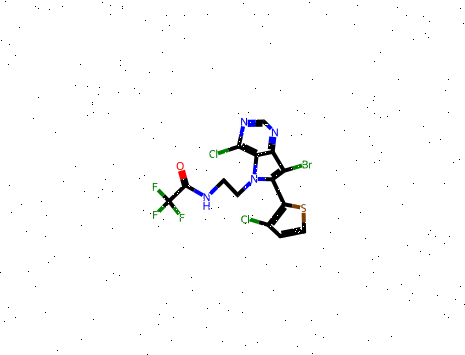 O=C(NCCn1c(-c2sccc2Cl)c(Br)c2ncnc(Cl)c21)C(F)(F)F